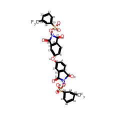 O=C1c2ccc(Oc3ccc4c(c3)C(=O)N(OS(=O)(=O)c3cccc(C(F)(F)F)c3)C4=O)cc2C(=O)N1OS(=O)(=O)c1cccc(C(F)(F)F)c1